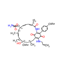 C=CCNC1=C2C[C@@H](C)C[C@H](OC)[C@H](O)[C@@H](C)C=C(C)[C@H](OC(N)=O)[C@@H](OC)C=CC=C(C)C(=O)NC(=C(c3ccc(OC)cc3)C1=O)C2=O